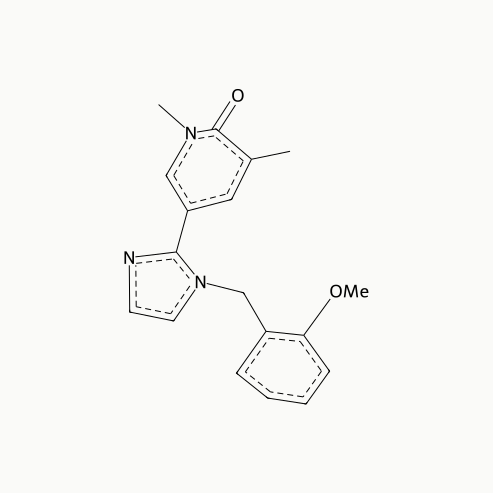 COc1ccccc1Cn1ccnc1-c1cc(C)c(=O)n(C)c1